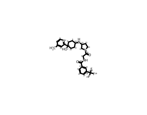 Cc1ccnc(C2(O)CCC(NC3CCN(C(=O)CNC(=O)c4cccc(C(F)(F)F)c4)C3)CC2)c1